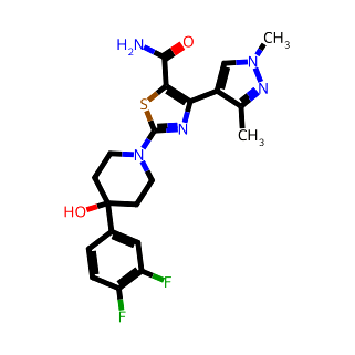 Cc1nn(C)cc1-c1nc(N2CCC(O)(c3ccc(F)c(F)c3)CC2)sc1C(N)=O